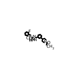 C=CC(=O)N1CCC(c2cccc(-c3n[nH]c(NCc4c(F)cccc4Cl)n3)c2)CC1